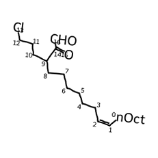 CCCCCCCC/C=C\CCCCCCC(CCCCl)C(=O)C=O